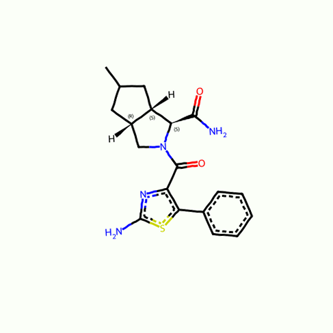 CC1C[C@H]2CN(C(=O)c3nc(N)sc3-c3ccccc3)[C@H](C(N)=O)[C@H]2C1